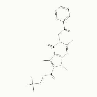 Cc1cc2c(c(O)c(C(=O)NCC(C)(C)O)n2C)c(=O)n1CC(=O)c1ccccc1